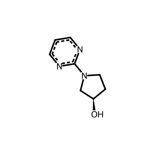 O[C@@H]1CCN(c2ncccn2)C1